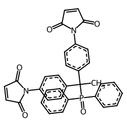 CC(c1ccc(N2C(=O)C=CC2=O)cc1)(c1ccc(N2C(=O)C=CC2=O)cc1)P(=O)(c1ccccc1)c1ccccc1